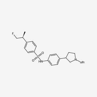 CCCN1CCC(c2ccc(NS(=O)(=O)c3ccc([C@H](C)CF)cc3)cc2)C1